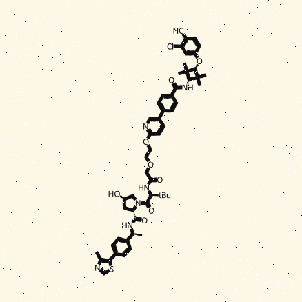 Cc1ncsc1-c1ccc([C@H](C)NC(=O)[C@@H]2C[C@@H](O)CN2C(=O)[C@@H](NC(=O)COCCOc2ccc(-c3ccc(C(=O)N[C@H]4C(C)(C)[C@H](Oc5ccc(C#N)c(Cl)c5)C4(C)C)cc3)cn2)C(C)(C)C)cc1